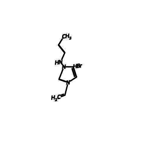 Br.C=CN1C=CN(NCCC)C1